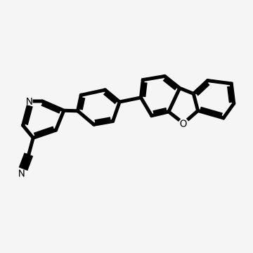 N#Cc1cncc(-c2ccc(-c3ccc4c(c3)oc3ccccc34)cc2)c1